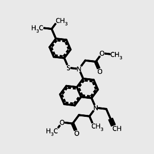 C#CCN(c1ccc(N(CC(=O)OC)Sc2ccc(C(C)C)cc2)c2ccccc12)C(C)CC(=O)OC